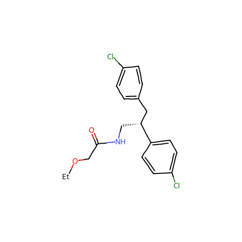 CCOCC(=O)NC[C@H](Cc1ccc(Cl)cc1)c1ccc(Cl)cc1